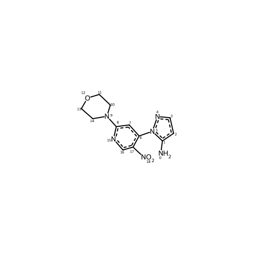 Nc1ccnn1-c1cc(N2CCOCC2)ncc1[N+](=O)[O-]